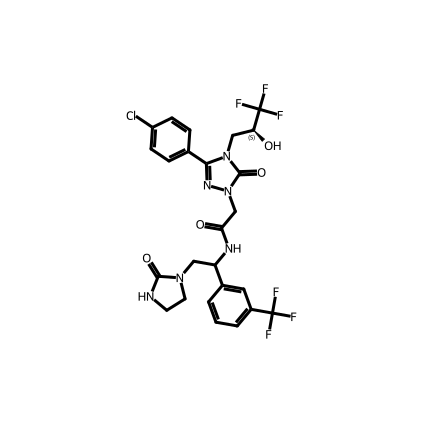 O=C(Cn1nc(-c2ccc(Cl)cc2)n(C[C@H](O)C(F)(F)F)c1=O)NC(CN1CCNC1=O)c1cccc(C(F)(F)F)c1